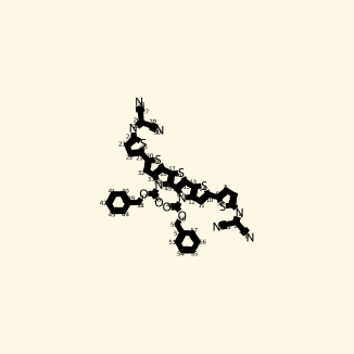 N#CC(C#N)=Nc1ccc(-c2cc3c(s2)c2sc4c5sc(-c6ccc(N=C(C#N)C#N)s6)cc5n(C(=O)OCc5ccccc5)c4c2n3C(=O)OCc2ccccc2)s1